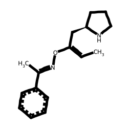 CC=C(C[C@H]1CCCN1)O/N=C(\C)c1ccccc1